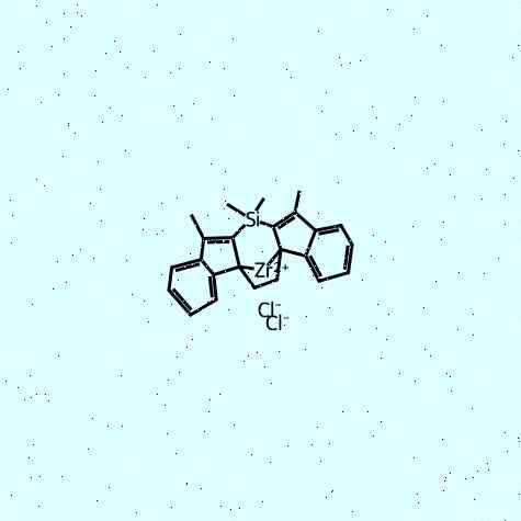 CC1=C2[C]3(CC[C]4([Zr+2]3)C(=C(C)c3ccccc34)[Si]2(C)C)c2ccccc21.[Cl-].[Cl-]